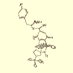 CCN(C(=O)c1[nH]cc(C(=N)SC(=N)Cc2ccc(F)cc2)c(=O)c1O)C1(NC)CCC(P(=O)(O)O)C1